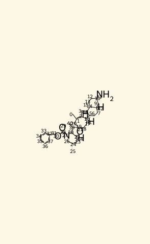 CC1=C2CC3[C@@H](CC[C@@H]4C[C@H](N)CC[C@]34C)[C@@H]2CC[C@@]2(C1)O[C@@H]1C[C@H](C)CN(C(=O)OCc3ccccc3)C1[C@H]2C